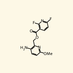 COc1ccc(N)c(COC(=O)c2ccc(F)nc2F)n1